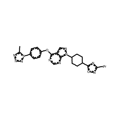 Cc1nnnn1-c1ccc(Oc2ncnc3c2cnn3C2CCC(c3nc(C(C)C)no3)CC2)cc1